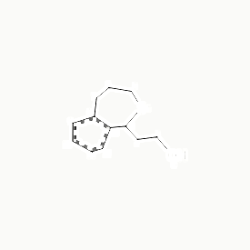 OCCC1SCCCc2ccccc21